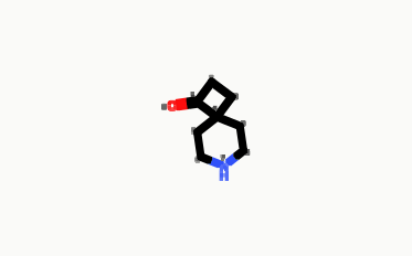 O=C1CCC12CCNCC2